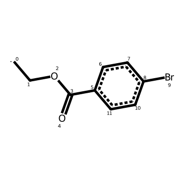 [CH2]COC(=O)c1ccc(Br)cc1